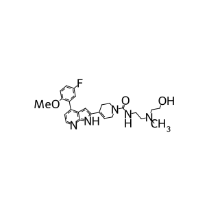 COc1ccc(F)cc1-c1ccnc2[nH]c(C3=CCN(C(=O)NCCN(C)CCO)CC3)cc12